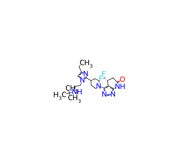 CCc1cn(CCNC(C)(C)C)c(C2CCN(c3ncnc4c3[C@H](C(F)F)CC(=O)N4)CC2)n1